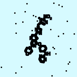 Cn1c(Cn2cnc(-c3cnc4cc(N5CCOCC5)nc(OC5CCC(Nc6ncccn6)CC5)c4c3)n2)cnc1[N+](=O)[O-]